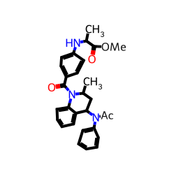 COC(=O)C(C)Nc1ccc(C(=O)N2c3ccccc3C(N(C(C)=O)c3ccccc3)CC2C)cc1